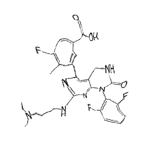 Cc1c(F)cc(C(=O)O)cc1-c1nc(NCCN(C)C)nc2c1CNC(=O)N2c1c(F)cccc1F